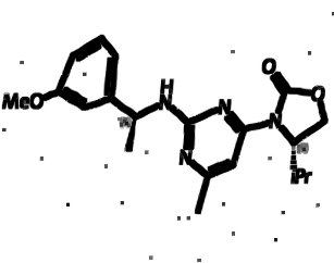 COc1cccc([C@H](C)Nc2nc(C)cc(N3C(=O)OC[C@@H]3C(C)C)n2)c1